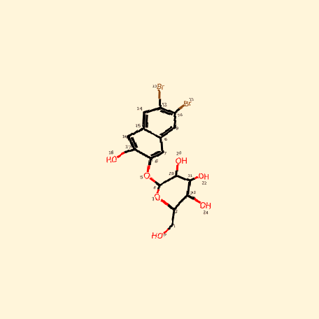 OCC1OC(Oc2cc3cc(Br)c(Br)cc3cc2O)C(O)C(O)C1O